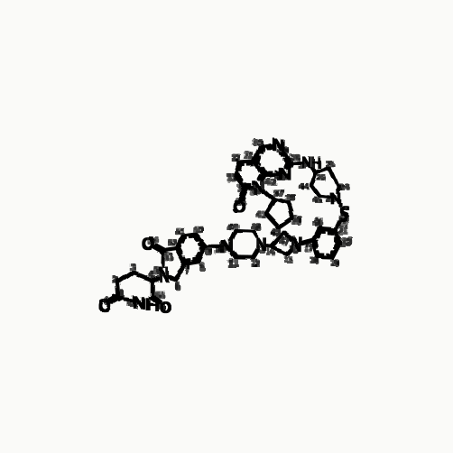 O=C1CCC(N2Cc3cc(N4CCN(C5CN(c6cccc(SN7CCC(Nc8ncc9ccc(=O)n(C%10CCCC%10)c9n8)CC7)c6)C5)CC4)ccc3C2=O)C(=O)N1